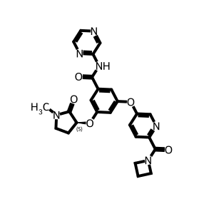 CN1CC[C@H](Oc2cc(Oc3ccc(C(=O)N4CCC4)nc3)cc(C(=O)Nc3cnccn3)c2)C1=O